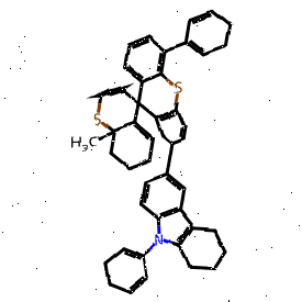 CC12CCCC=C1C1(C3=C(C=CC(c4ccc5c(c4)c4c(n5C5=CCCC=C5)CCCC4)C3)Sc3c(C4=CCCC=C4)cccc31)C1C=CCCC1S2